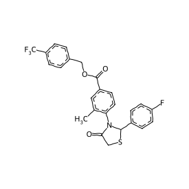 Cc1cc(C(=O)OCc2ccc(C(F)(F)F)cc2)ccc1N1C(=O)CSC1c1ccc(F)cc1